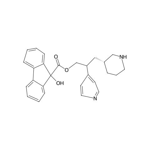 O=C(OCC(C[C@H]1CCCNC1)c1ccncc1)C1(O)c2ccccc2-c2ccccc21